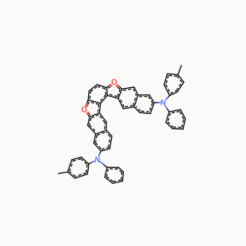 Cc1ccc(N(c2ccccc2)c2ccc3cc4c(cc3c2)oc2ccc3oc5cc6cc(N(c7ccccc7)c7ccc(C)cc7)ccc6cc5c3c24)cc1